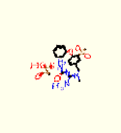 CN(Cc1ccc(Oc2ccccc2)c(S(C)(=O)=O)c1)C(N)=NC(N)=O.CS(=O)(=O)O